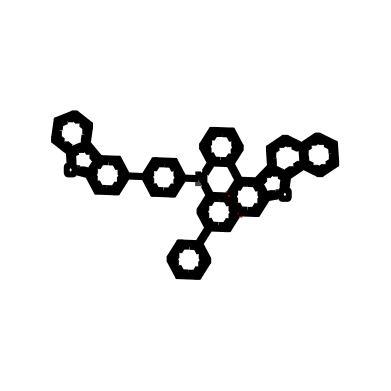 c1ccc(-c2cccc(N(c3ccc(-c4ccc5oc6ccccc6c5c4)cc3)c3ccccc3-c3cccc4oc5c6ccccc6ccc5c34)c2)cc1